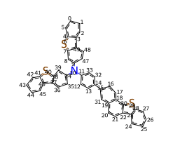 c1ccc2c(c1)sc1cc(N(c3ccc(-c4ccc5c(ccc6c7ccccc7sc56)c4)cc3)c3ccc4c(c3)sc3ccccc34)ccc12